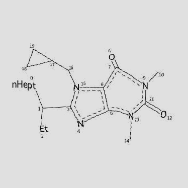 CCCCCCCC(CC)c1nc2c(c(=O)n(C)c(=O)n2C)n1CC1CC1